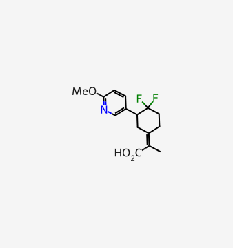 COc1ccc(C2CC(=C(C)C(=O)O)CCC2(F)F)cn1